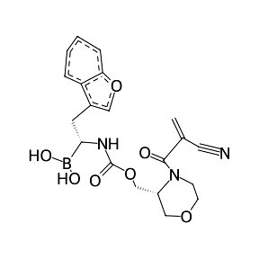 C=C(C#N)C(=O)N1CCOC[C@@H]1COC(=O)N[C@@H](Cc1coc2ccccc12)B(O)O